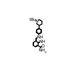 CC(C)(C)N1CCCC(c2ccc(N/C=C3/C=CC=C(C(N)=O)C3=N)cc2)C1